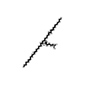 CCCCCC=CCC=CCC=CCCCCCC(CCCCCC=CCC=CCC=CCCCCC)OC(=O)CCCCN(C)C